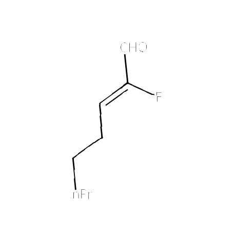 CCCCCC=C(F)C=O